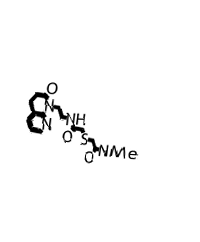 CNC(=O)CSCC(=O)NCCN1C(=O)CCc2cccnc21